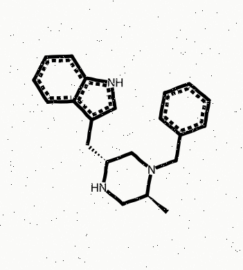 C[C@H]1CN[C@H](Cc2c[nH]c3ccccc23)CN1Cc1ccccc1